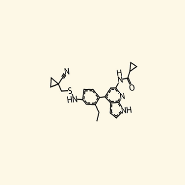 CCc1cc(NSCC2(C#N)CC2)ccc1-c1cc(NC(=O)C2CC2)nc2[nH]ccc12